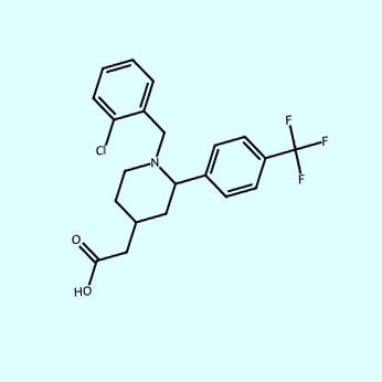 O=C(O)CC1CCN(Cc2ccccc2Cl)C(c2ccc(C(F)(F)F)cc2)C1